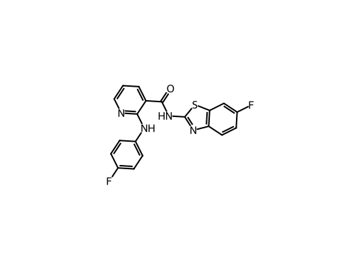 O=C(Nc1nc2ccc(F)cc2s1)c1cccnc1Nc1ccc(F)cc1